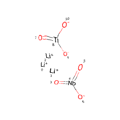 [Li+].[Li+].[Li+].[O]=[Nb](=[O])[O-].[O]=[Ti]([O-])[O-]